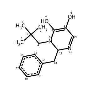 CC(C)(C)CN1C(O)=C(O)C=NC1Cc1ccccc1